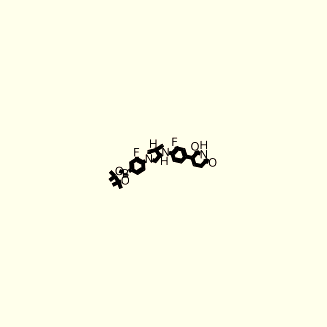 CC1(C)OB(c2ccc(N3C[C@H]4CN(c5ccc(C6CCC(=O)NC6=O)cc5F)[C@H]4C3)c(F)c2)OC1(C)C